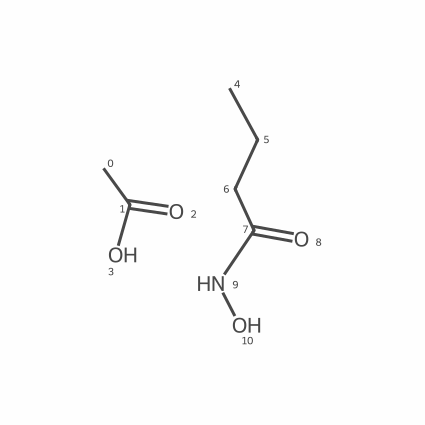 CC(=O)O.CCCC(=O)NO